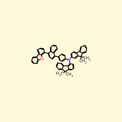 CC1(C)c2ccccc2-c2ccc(N(c3ccc(-c4ccc(-c5cccc6c5oc5ccccc56)c5ccccc45)cc3)c3cccc4c3-c3ccccc3C4(C)C)cc21